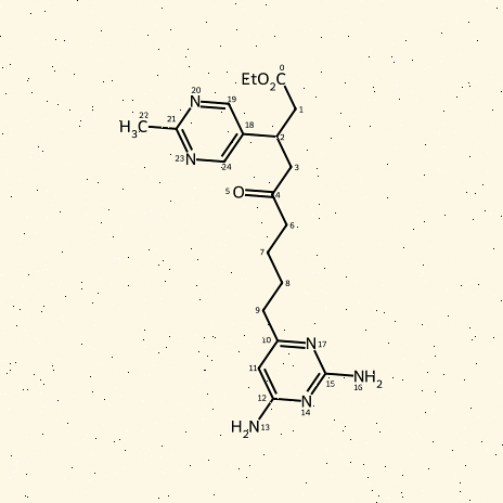 CCOC(=O)CC(CC(=O)CCCCc1cc(N)nc(N)n1)c1cnc(C)nc1